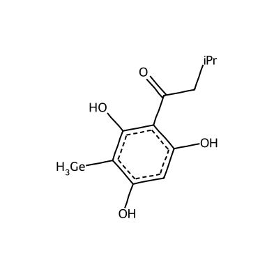 CC(C)CC(=O)c1c(O)cc(O)[c]([GeH3])c1O